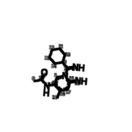 CC(=O)Nc1cn(C(=N)C2CCCCC2)c(=N)cc1C